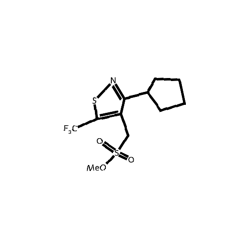 COS(=O)(=O)Cc1c(C2CCCC2)nsc1C(F)(F)F